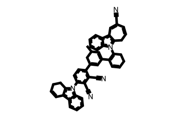 CC1C=C(C2=C(n3c4c(c5ccccc53)C=C(C#N)C=CC4)CCC=C2)C=C(c2ccc(-n3c4c(c5ccccc53)C=CCC4)c(C#N)c2C#N)C1